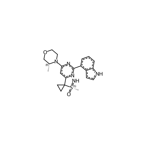 C[C@@H]1COCCN1c1cc(C2([S@@](C)(=N)=O)CC2)nc(-c2cccc3[nH]ccc23)n1